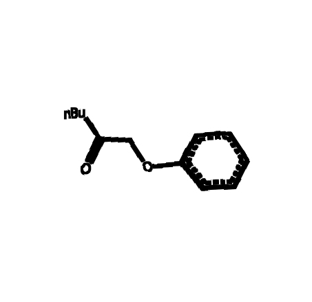 CCCCC(=O)COc1ccccc1